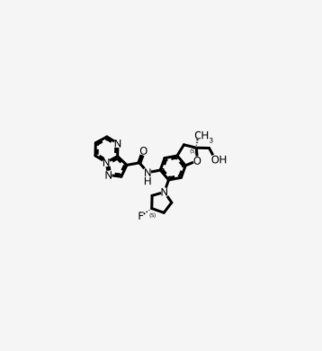 C[C@@]1(CO)Cc2cc(NC(=O)c3cnn4cccnc34)c(N3CC[C@H](F)C3)cc2O1